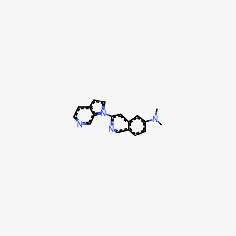 CN(C)c1ccc2cnc(-n3ccc4ccncc43)cc2c1